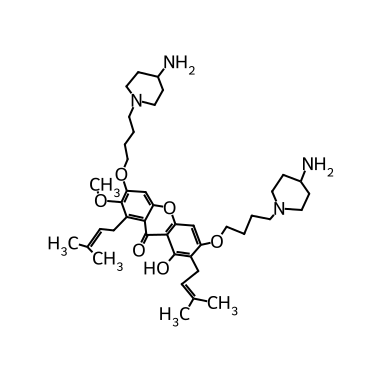 COc1c(OCCCCN2CCC(N)CC2)cc2oc3cc(OCCCCN4CCC(N)CC4)c(CC=C(C)C)c(O)c3c(=O)c2c1CC=C(C)C